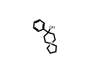 OC1(c2ccccc2)CC[N+]2(CCCC2)CC1